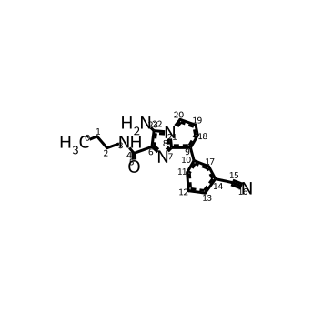 CCCNC(=O)c1nc2c(-c3cccc(C#N)c3)cccn2c1N